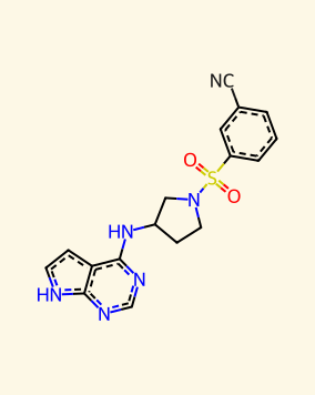 N#Cc1cccc(S(=O)(=O)N2CCC(Nc3ncnc4[nH]ccc34)C2)c1